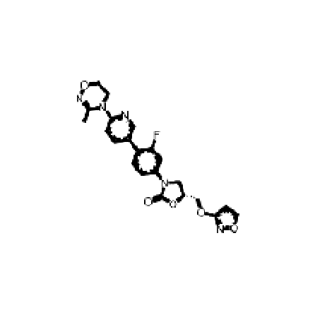 CC1=NOCCN1c1ccc(-c2ccc(N3C[C@H](COc4ccon4)OC3=O)cc2F)cn1